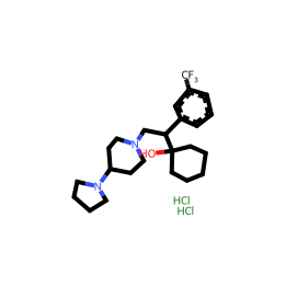 Cl.Cl.OC1(C(CN2CCC(N3CCCC3)CC2)c2cccc(C(F)(F)F)c2)CCCCC1